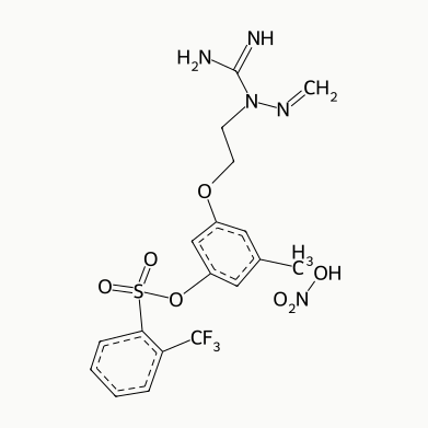 C=NN(CCOc1cc(C)cc(OS(=O)(=O)c2ccccc2C(F)(F)F)c1)C(=N)N.O=[N+]([O-])O